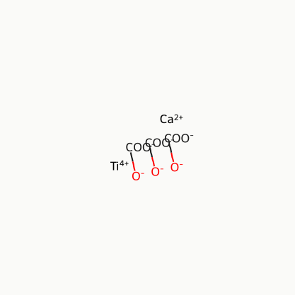 O=C([O-])[O-].O=C([O-])[O-].O=C([O-])[O-].[Ca+2].[Ti+4]